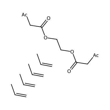 C=CC.C=CC.C=CC.C=CC.CC(=O)CC(=O)OCCOC(=O)CC(C)=O